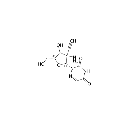 C#CC1(N)C(O)[C@@H](CO)O[C@H]1n1ncc(=O)[nH]c1=O